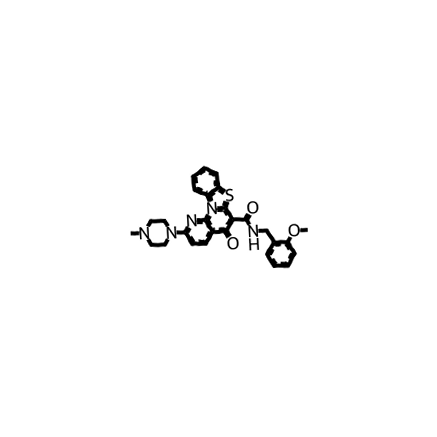 COc1ccccc1CNC(=O)c1c(=O)c2ccc(N3CCN(C)CC3)nc2n2c1sc1ccccc12